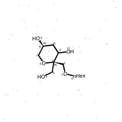 CCCCCCOC[C@@]1(CO)OC[C@@H](O)CC1O